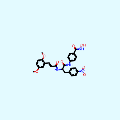 COc1ccc(OC)c(/C=C/C(=O)NC(Cc2ccc([N+](=O)[O-])cc2)C(=O)Nc2ccc(C(=O)NO)cc2)c1